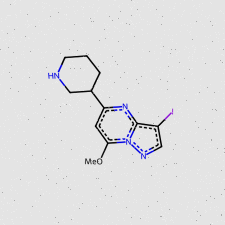 COc1cc(C2CCCNC2)nc2c(I)cnn12